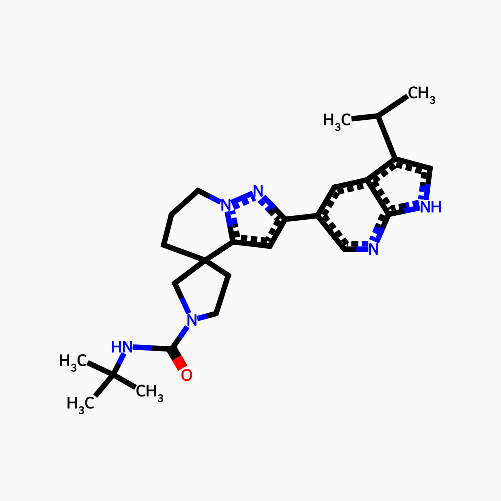 CC(C)c1c[nH]c2ncc(-c3cc4n(n3)CCCC43CCN(C(=O)NC(C)(C)C)C3)cc12